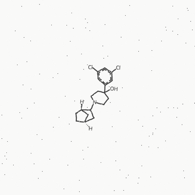 OC1(c2cc(Cl)cc(Cl)c2)CCN(C2C[C@H]3CC[C@H]2C3)CC1